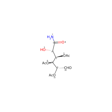 CC(=O)O[C@@H]([C@H](OC(C)=O)[C@H](O)C(N)=O)[C@H](C=O)OC(C)=O